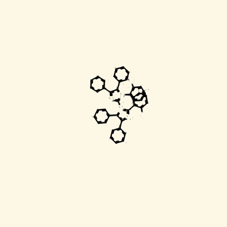 Clc1ccccc1-c1nc(-c2ccccc2)c(-c2ccccc2)n1-c1nc(-c2ccccc2)c(-c2ccccc2)n1-c1ccccc1Cl